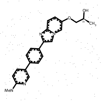 CNc1ccc(-c2ccc(-c3cn4cc(OC[C@H](C)O)ccc4n3)cc2)cn1